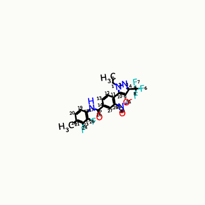 CCn1nc(C(F)(F)F)cc1-c1ccc(C(=O)Nc2ccc(C)c(F)c2F)cc1[N+](=O)[O-]